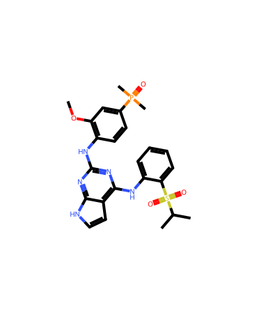 COc1cc(P(C)(C)=O)ccc1Nc1nc(Nc2ccccc2S(=O)(=O)C(C)C)c2cc[nH]c2n1